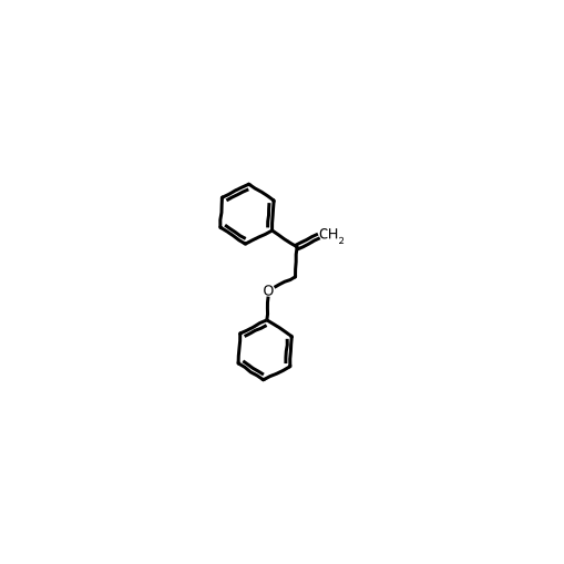 C=C(COc1ccccc1)c1ccccc1